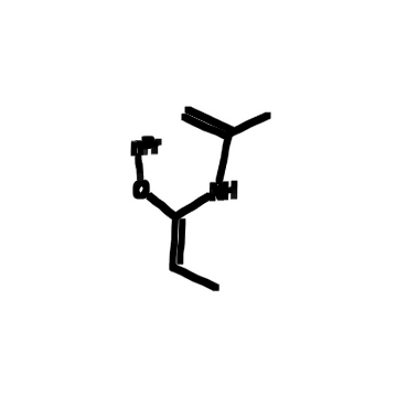 C=C(C)N/C(=C\C)OCCC